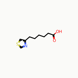 O=C(O)CCCCCc1cscn1